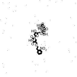 O=c1[nH]c(=O)n([C@H]2C[C@H](O)[C@@H](COP(=O)(O)OP(=O)(O)OP(=O)(O)O)O2)cc1COCCc1ccccc1[N+](=O)[O-]